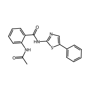 CC(=O)Nc1ccccc1C(=O)Nc1ncc(-c2ccccc2)s1